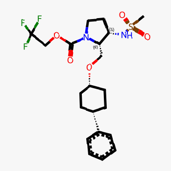 CS(=O)(=O)N[C@H]1CCN(C(=O)OCC(F)(F)F)[C@H]1CO[C@H]1CC[C@@H](c2ccccc2)CC1